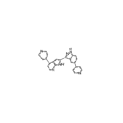 c1cc(-c2ccc3[nH]nc(-c4cc5c(-c6ccncc6)ccnc5[nH]4)c3c2)ccn1